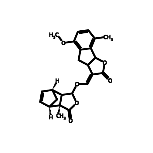 COc1ccc(C)c2c1CC1/C(=C\OC3OC(=O)[C@]4(C)C3[C@@H]3C=C[C@H]4C3)C(=O)OC21